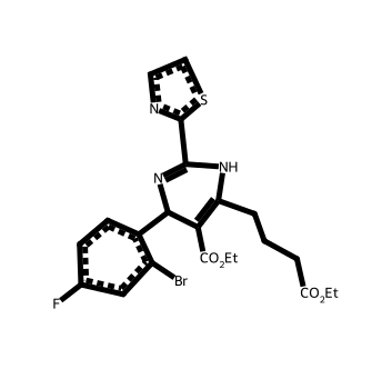 CCOC(=O)CCCC1=C(C(=O)OCC)C(c2ccc(F)cc2Br)N=C(c2nccs2)N1